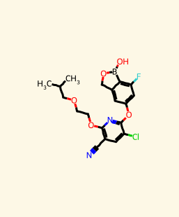 CC(C)COCCOc1nc(Oc2cc(F)c3c(c2)COB3O)c(Cl)cc1C#N